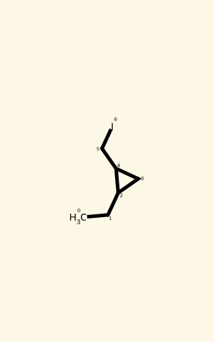 CCC1CC1CI